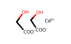 O=C([O-])CO.O=C([O-])CO.[Cd+2]